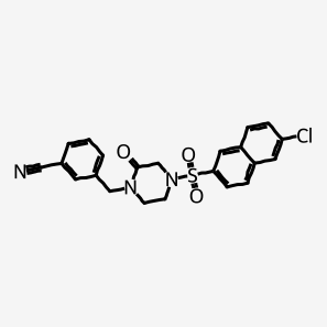 N#Cc1cccc(CN2CCN(S(=O)(=O)c3ccc4cc(Cl)ccc4c3)CC2=O)c1